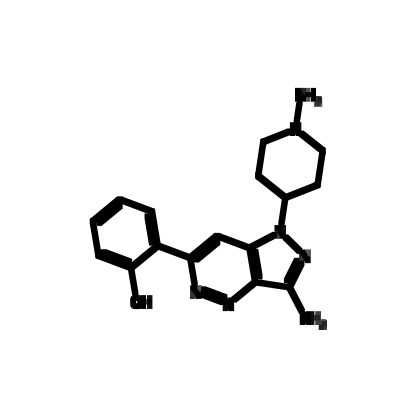 Nc1nn(C2CCN(N)CC2)c2cc(-c3ccccc3O)nnc12